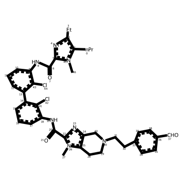 CCCc1c(CC)nc(C(=O)Nc2cccc(-c3cccc(NC(=O)c4nc5c(n4C)CCN(CCc4ccc(C=O)cc4)C5)c3Cl)c2Cl)n1C